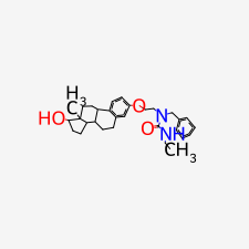 CCNC(=O)N(CCOc1ccc2c(c1)CCC1C2CCC2(C)C(O)CCC12)Cc1ccccc1